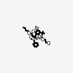 CCCCOC(=O)CC(N[C@H](CO)c1ccccc1)c1cc(Br)cc(C(C)(C)C)c1OCOCCOC